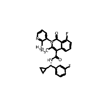 Cc1ncccc1-n1c(C)c(C(=O)N[C@H](c2cccc(F)c2)C2CC2)c2cccc(F)c2c1=O